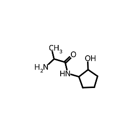 CC(N)C(=O)NC1CCCC1O